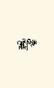 CC(C)n1cnnc1-c1cccc(NC(=O)n2nc(N)c3c2CCCC3)n1